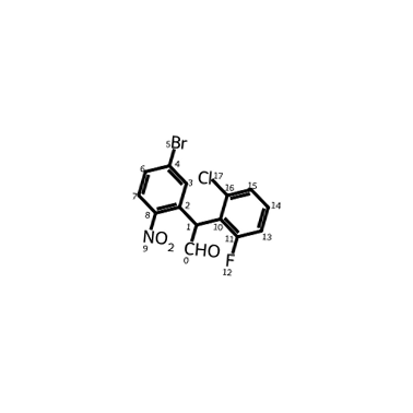 O=CC(c1cc(Br)ccc1[N+](=O)[O-])c1c(F)cccc1Cl